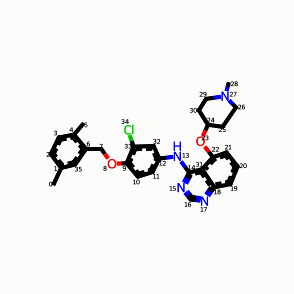 Cc1ccc(C)c(COc2ccc(Nc3ncnc4cccc(OC5CCN(C)CC5)c34)cc2Cl)c1